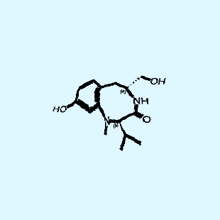 CC(C)[C@@H]1C(=O)N[C@@H](CO)Cc2ccc(O)cc2N1C